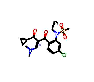 CC(C)CN(c1cc(Cl)ccc1C(=O)/C(=C/N(C)C)C(=O)C1CC1)S(C)(=O)=O